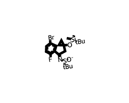 CC(C)(C)[S+]([O-])/N=C(\CC1(O[Si](C)(C)C(C)(C)C)CC1)c1cc(Br)ccc1F